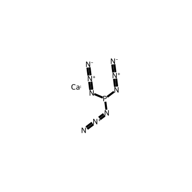 [Ca].[N-]=[N+]=NP(N=[N+]=[N-])N=[N+]=[N-]